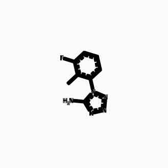 Cc1c(F)cccc1-n1nnnc1N